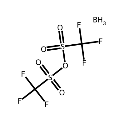 B.O=S(=O)(OS(=O)(=O)C(F)(F)F)C(F)(F)F